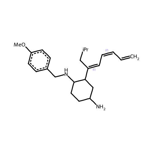 C=C/C=C\C=C(/CC(C)C)C1CC(N)CCC1NCc1ccc(OC)cc1